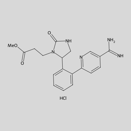 COC(=O)CCN1C(=O)NCC1c1ccccc1-c1ccc(C(=N)N)cn1.Cl